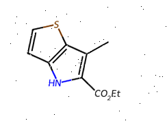 CCOC(=O)c1[nH]c2ccsc2c1C